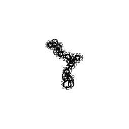 C=C1/C=C\C=C/COc2ccc3c(oc4ccc(-c5ccc6c(c5)c5cc(-c7ccc8oc9c(ccc%10oc%11ccccc%11c%109)c8c7)ccc5n6-c5ccccc5)cc43)c21